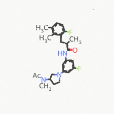 CC(=O)N(C)C1CCN(c2cc(F)cc(NC(=O)C(C)Cc3c(F)ccc(C)c3C)c2)C1